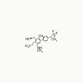 C#CCc1c(C)c(-c2ccc(C(C)CC(F)(F)F)cc2)cc(CNC)c1CCC